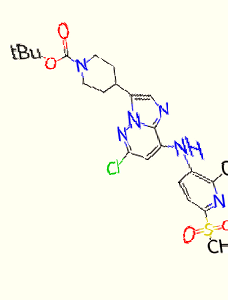 Cc1nc(S(C)(=O)=O)ccc1Nc1cc(Cl)nn2c(C3CCN(C(=O)OC(C)(C)C)CC3)cnc12